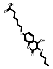 CCCCOc1c(O)c2ccc(OCCCCCC(=O)O)cc2oc1=O